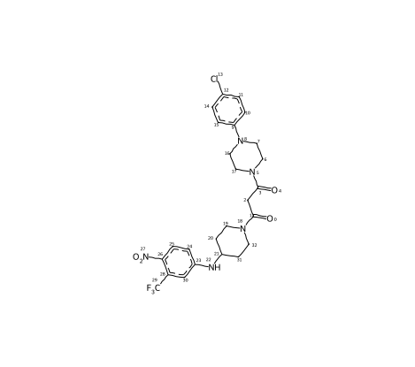 O=C(CC(=O)N1CCN(c2ccc(Cl)cc2)CC1)N1CCC(Nc2ccc([N+](=O)[O-])c(C(F)(F)F)c2)CC1